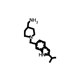 CC(C)c1cc2ccc(CN3CCC(CN)CC3)cc2[nH]1